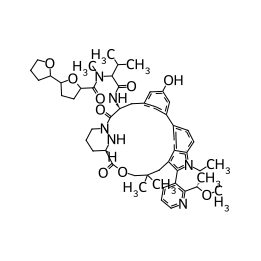 CCn1c(-c2cccnc2[C@H](C)OC)c2c3cc(ccc31)-c1cc(O)cc(c1)C[C@H](NC(=O)C(C(C)C)N(C)C(=O)C1CCC(C3CCCO3)O1)C(=O)N1CCC[C@H](N1)C(=O)OCC(C)(C)C2